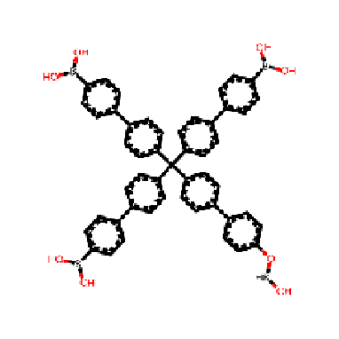 OBOc1ccc(-c2ccc(C(c3ccc(-c4ccc(B(O)O)cc4)cc3)(c3ccc(-c4ccc(B(O)O)cc4)cc3)c3ccc(-c4ccc(B(O)O)cc4)cc3)cc2)cc1